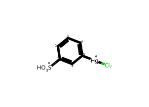 O=S(=O)(O)c1ccc[c]([Hg][Cl])c1